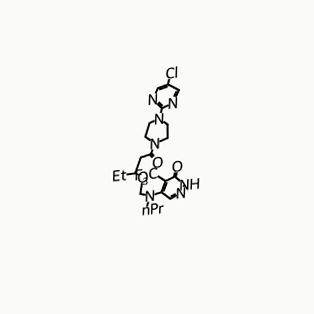 CCCN(COC(CC)CC(=O)N1CCN(c2ncc(Cl)cn2)CC1)c1cn[nH]c(=O)c1C(F)(F)F